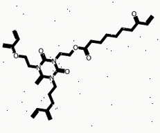 C=CC(=C)CCCN1C(=C)N(CCOC(=C)C=C)C(=O)N(CCOC(=O)CCCCCCC(=O)C=C)C1=O